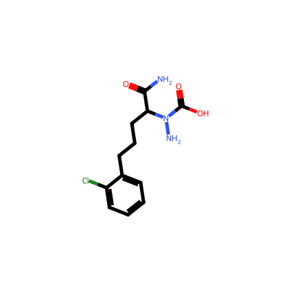 NC(=O)C(CCCc1ccccc1Cl)N(N)C(=O)O